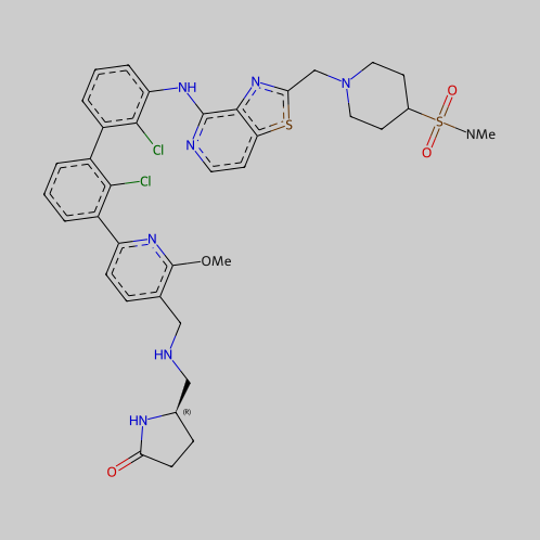 CNS(=O)(=O)C1CCN(Cc2nc3c(Nc4cccc(-c5cccc(-c6ccc(CNC[C@H]7CCC(=O)N7)c(OC)n6)c5Cl)c4Cl)nccc3s2)CC1